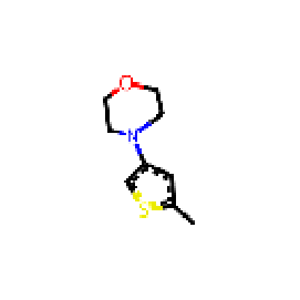 Cc1cc(N2CCOCC2)cs1